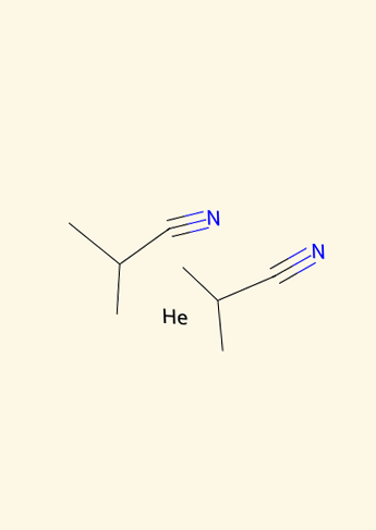 CC(C)C#N.CC(C)C#N.[He]